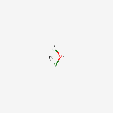 ClOCl.[Pt]